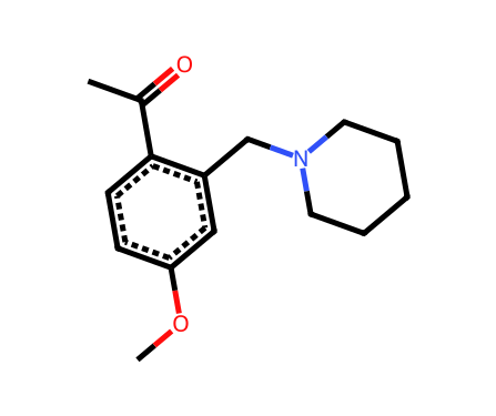 COc1ccc(C(C)=O)c(CN2CCCCC2)c1